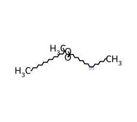 CCCCCC/C=C\CCCCCCCC(=O)OC(C)CCCCCCCCCCCCCC